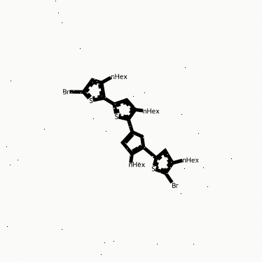 CCCCCCC1=C(c2cc(CCCCCC)c(Br)s2)CC(c2sc(-c3sc(Br)cc3CCCCCC)cc2CCCCCC)=C1